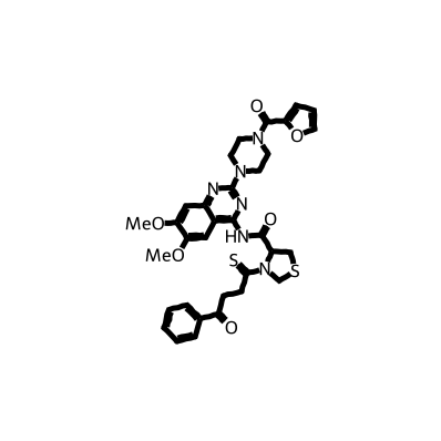 COc1cc2nc(N3CCN(C(=O)c4ccco4)CC3)nc(NC(=O)C3CSCN3C(=S)CCC(=O)c3ccccc3)c2cc1OC